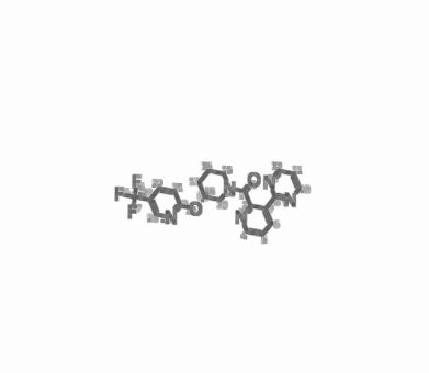 O=C(c1ncccc1-c1ncccn1)N1CCC[C@@H](Oc2ccc(C(F)(F)F)cn2)C1